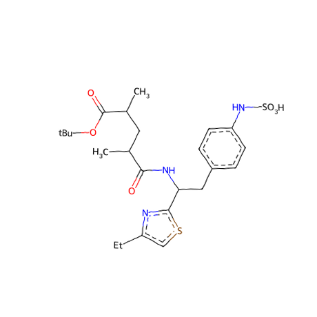 CCc1csc(C(Cc2ccc(NS(=O)(=O)O)cc2)NC(=O)C(C)CC(C)C(=O)OC(C)(C)C)n1